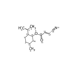 CC1CCC(C(C)C)C(OC(=O)C=CC#N)C1